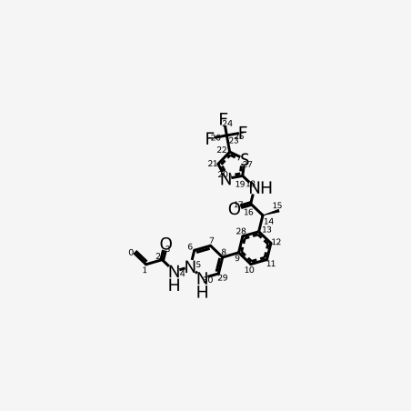 C=CC(=O)NN1C=CC(c2cccc([C@H](C)C(=O)Nc3ncc(C(F)(F)F)s3)c2)=CN1